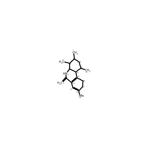 C=C1NC2C(C)C(C)CC(C)C2C2=C1C=C(CCCC)CC2